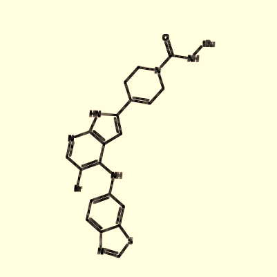 CC(C)(C)NC(=O)N1CC=C(c2cc3c(Nc4ccc5ncsc5c4)c(Br)cnc3[nH]2)CC1